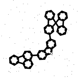 c1ccc2c(c1)-c1cccc3c(-c4ccc5oc6ccc(-c7ccc8c(c7)C7(c9ccccc9-c9ccccc97)c7ccccc7-8)cc6c5c4)ccc-2c13